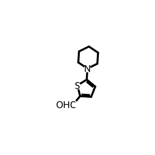 O=Cc1ccc(N2CCCCC2)s1